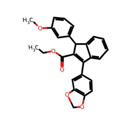 CCOC(=O)C1=C(c2ccc3c(c2)OCO3)c2ccccc2C1c1cccc(OC)c1